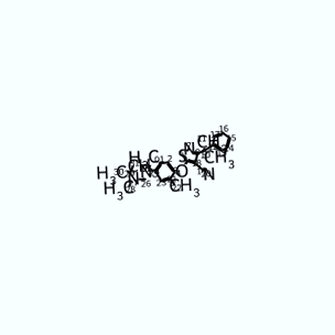 Cc1cc(Oc2snc(C(C)(C)c3ccccc3)c2C#N)c(C)cc1N=CN(C)C(C)C